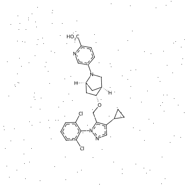 O=C(O)c1ccc(N2C[C@@H]3C[C@H]2C[C@H]3OCc2c(C3CC3)cnn2-c2c(Cl)cccc2Cl)cn1